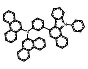 c1ccc(-n2c3ccccc3c3c(-c4cccc(N(c5cc6ccccc6c6ccccc56)c5cc6ccccc6c6ccccc56)c4)cc4ccccc4c32)cc1